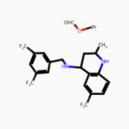 CC(C)OC=O.CC1CC(NCc2cc(C(F)(F)F)cc(C(F)(F)F)c2)c2cc(C(F)(F)F)ccc2N1